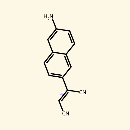 N#C/C=C(\C#N)c1ccc2cc(N)ccc2c1